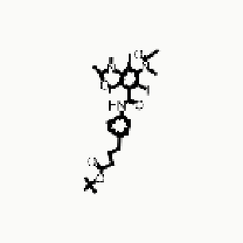 CC(=O)N(C)c1c(I)c(C(=O)Nc2ccc(CCCC(=O)OC(C)(C)C)cc2)c(I)c(N(C)C(C)=O)c1I